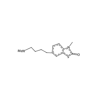 CNCCCCc1ccc2c(c1)sc(=O)n2C